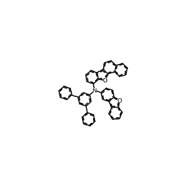 c1ccc(-c2cc(-c3ccccc3)cc(N(c3ccc4oc5ccccc5c4c3)c3cccc4c3oc3c5ccccc5ccc43)c2)cc1